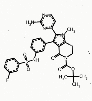 Cn1c2c(c(-c3cccc(NS(=O)(=O)c4cccc(F)c4)c3)c1-c1ccnc(N)n1)C(=O)N(C(=O)OC(C)(C)C)CC2